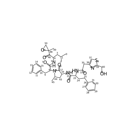 CC(C)CC(NC(=O)C(Cc1ccccc1)N1C(=O)C(NC(=O)C(CCc2ccccc2)NC(=O)Cc2csc(CO)n2)CC1C)C(=O)C1(C)CO1